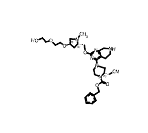 CN1C[C@H](OCCOCCO)C[C@H]1COc1nc2c(c(N3CCN(C(=O)OCc4ccccc4)[C@@H](CC#N)C3)n1)CCNC2